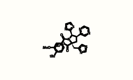 COc1cc(C(=O)N2[C@@H](c3nccs3)[C@@H](c3cnccn3)C[C@@]2(Cc2cscn2)C(=O)OC(C)(C)C)ccc1C(C)(C)C